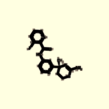 C[C@@]1(c2cc(NC(=O)c3ncccc3F)ccn2)CCSC(N)=N1